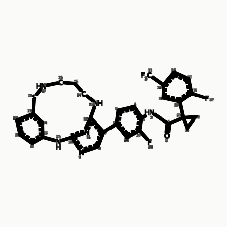 O=C(Nc1ccc(-c2cnc3nc2NCCCNSc2cccc(c2)N3)cc1F)C1(c2cc(C(F)(F)F)ccc2F)CC1